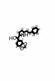 OC(c1ccc2c(c1)OCO2)C1CCC(CCc2ccccc2)N1